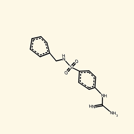 N=C(N)Nc1ccc(S(=O)(=O)NCc2ccccc2)cc1